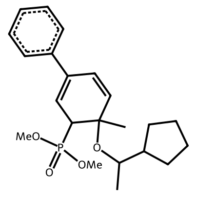 COP(=O)(OC)C1C=C(c2ccccc2)C=CC1(C)OC(C)C1CCCC1